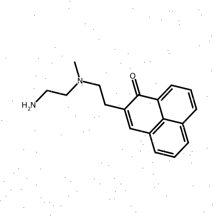 CN(CCN)CCC1=Cc2cccc3cccc(c23)C1=O